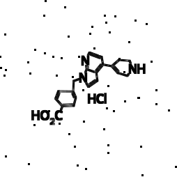 Cl.O=C(O)c1ccc(Cn2ccc3c(C4=CCNCC4)ccnc32)cc1